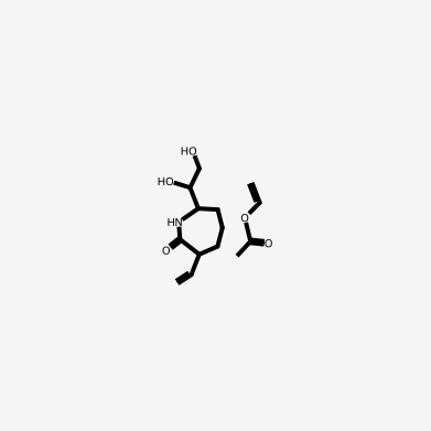 C=CC1CCCC(C(O)CO)NC1=O.C=COC(C)=O